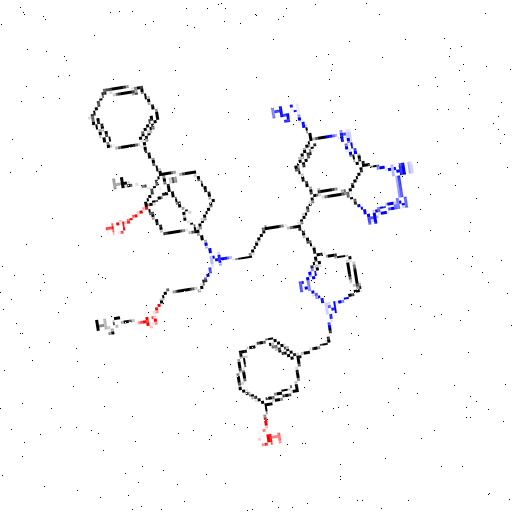 COCCN(CCC(c1ccn(Cc2cccc(O)c2)n1)c1cc(N)nc2[nH]nnc12)C12CCC(c3ccccc3)(CC1)[C@H](O)C2